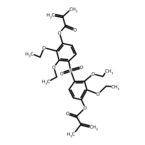 C=C(C)C(=O)Oc1ccc(S(=O)(=O)c2ccc(OC(=O)C(=C)C)c(OCC)c2OCC)c(OCC)c1OCC